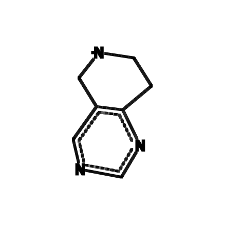 c1ncc2c(n1)CC[N]C2